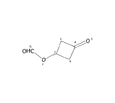 O=COC1CC(=O)C1